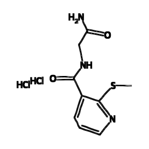 CSc1ncccc1C(=O)NCC(N)=O.Cl.Cl